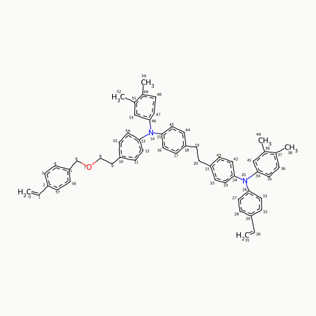 C=Cc1ccc(COCCc2ccc(N(c3ccc(CCc4ccc(N(c5ccc(C=C)cc5)c5ccc(C)c(C)c5)cc4)cc3)c3ccc(C)c(C)c3)cc2)cc1